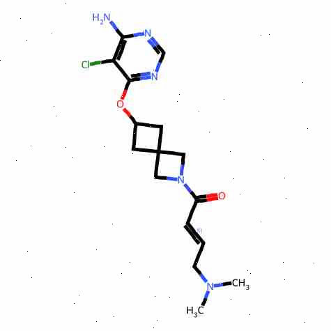 CN(C)C/C=C/C(=O)N1CC2(CC(Oc3ncnc(N)c3Cl)C2)C1